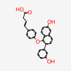 O=C(O)CC=Cc1ccc(Oc2c(-c3cccc(O)c3)ccc3cc(O)ccc23)cc1